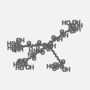 CC(=O)N[C@H]1[C@H](OCCCCC(=O)NCCCNC(=O)CCOCC(COCCC(=O)NCCCNC(=O)CCCCO[C@@H]2O[C@H](CO)[C@H](O)[C@H](O)[C@H]2NC(C)=O)(COCCC(=O)NCCCNC(=O)CCCCO[C@@H]2O[C@H](CO)[C@H](O)[C@H](O)[C@H]2NC(C)=O)NC(=O)CCCCCCCCCCC(=O)N2C[C@H](O)C[C@H]2COP(=O)(O)O)O[C@H](CO)[C@H](O)[C@@H]1O